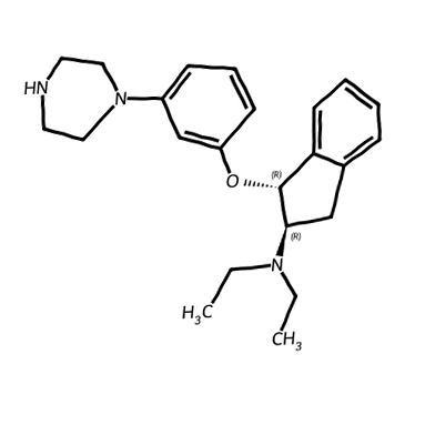 CCN(CC)[C@@H]1Cc2ccccc2[C@H]1Oc1cccc(N2CCNCC2)c1